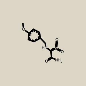 COc1ccc(CNC(C(N)=O)=S(=O)=O)cc1